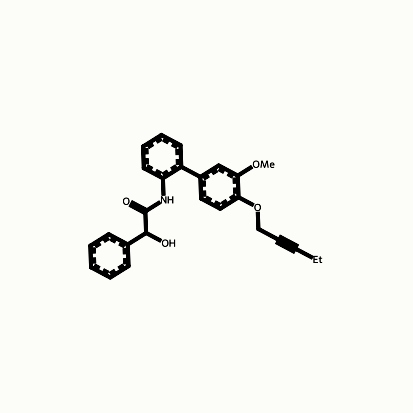 CCC#CCOc1ccc(-c2ccccc2NC(=O)C(O)c2ccccc2)cc1OC